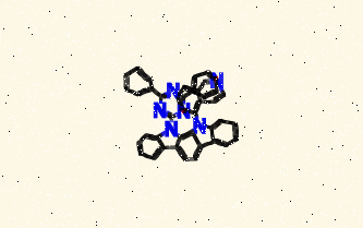 c1ccc(-c2nc(-c3ccccc3)nc(-n3c4ccccc4c4ccc5c6ccccc6n(-c6cccc7cnccc67)c5c43)n2)cc1